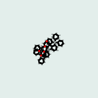 c1ccc(-c2ccccc2-n2c3ccccc3c3ccc(-n4c5cccc([Si](c6ccccc6)(c6ccccc6)c6ccccc6)c5c5cccc(-n6c7ccccc7c7ccccc76)c54)cc32)cc1